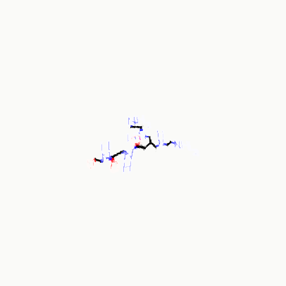 NCCNCC(CNCCN)CC(=O)NCC(=O)NCC=O